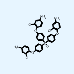 Nc1ccc(Oc2ccc(P(=O)(c3ccc(Oc4ccc(N)cc4Cl)cc3)c3ccc(Oc4ccc(N)cc4Cl)cc3)cc2)c(Cl)c1